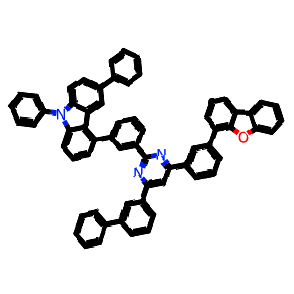 c1ccc(-c2cccc(-c3cc(-c4cccc(-c5cccc6c5oc5ccccc56)c4)nc(-c4cccc(-c5cccc6c5c5cc(-c7ccccc7)ccc5n6-c5ccccc5)c4)n3)c2)cc1